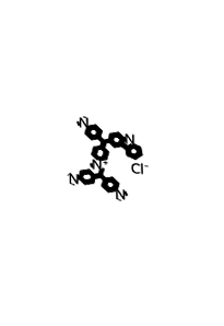 CN(C)c1ccc(C(C[N+](C)=C2C=CC(=C(c3ccc(N(C)C)cc3)c3ccc4c(c3)c3ccccc3n4C)C=C2)=C2C=CC(N(C)C)C=C2)cc1.[Cl-]